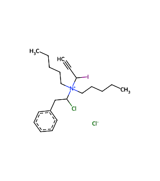 C#CC(I)[N+](CCCCC)(CCCCC)C(Cl)Cc1ccccc1.[Cl-]